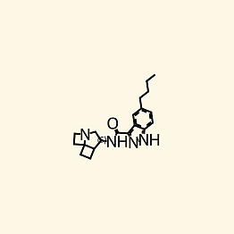 CCCCc1ccc2[nH]nc(C(=O)N[C@@H]3CN4CCC45CCC35)c2c1